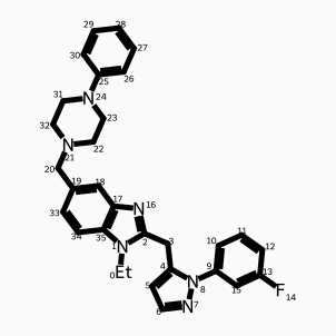 CCn1c(Cc2ccnn2-c2cccc(F)c2)nc2cc(CN3CCN(c4ccccc4)CC3)ccc21